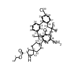 CCOC(=O)[C@@H]1CC2(CCN(c3cc(O[C@H](c4ccc(Cl)cc4-c4cccc(C(C)(C)C)c4)C(F)(F)F)nc(N)n3)CC2)CN1